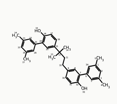 Cc1cc(C)cc(-c2cc(CCC(C)(C)c3ccc(O)c(-c4cc(C)cc(C)c4)c3)ccc2O)c1